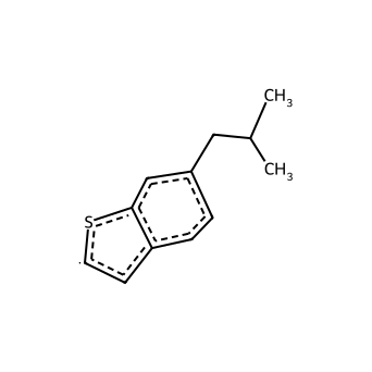 CC(C)Cc1ccc2c[c]sc2c1